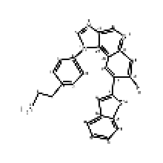 NCCc1ccc(-n2cnc3cnc4cc(F)c(-c5cc6ccccc6s5)cc4c32)cc1